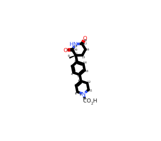 C[C@]1(c2ccc(C3=CCN(C(=O)O)CC3)cc2)CCC(=O)NC1=O